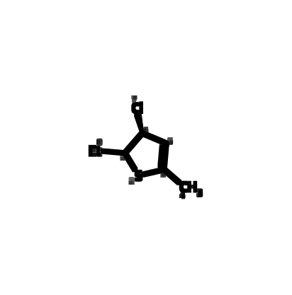 CCC1SC(C)=C[C@@H]1Cl